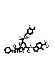 Cc1c(C(=O)O)ccc2c1CC[C@@H]2NC(=O)c1cc(C(=O)NCc2ccc(F)c(F)c2)nc2c(C(=O)NC3CCCCC3)cnn12